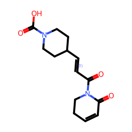 O=C(O)N1CCC(/C=C/C(=O)N2CCC=CC2=O)CC1